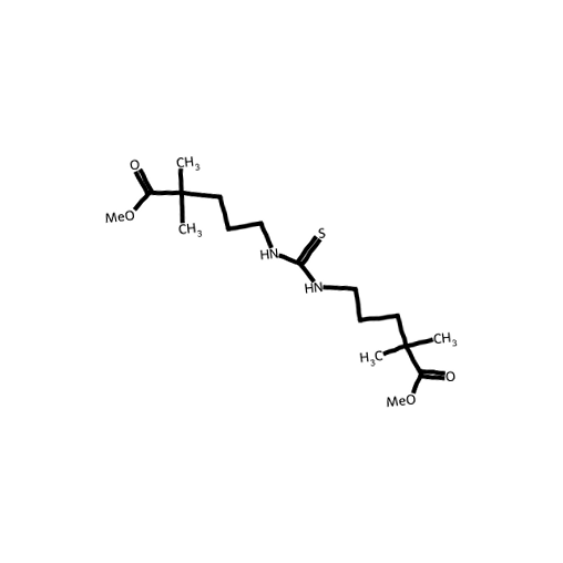 COC(=O)C(C)(C)CCCNC(=S)NCCCC(C)(C)C(=O)OC